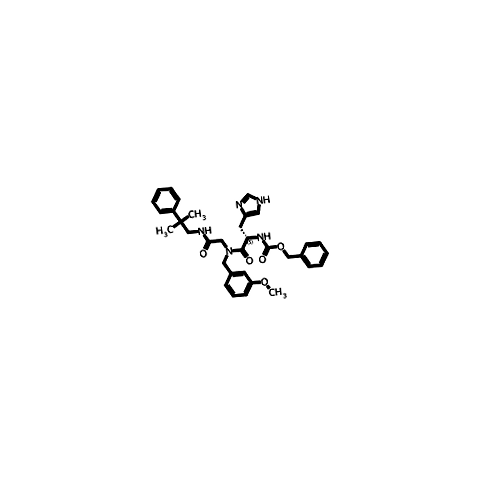 COc1cccc(CN(CC(=O)NCC(C)(C)c2ccccc2)C(=O)[C@H](Cc2c[nH]cn2)NC(=O)OCc2ccccc2)c1